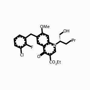 CCOC(=O)c1cn([C@H](CO)CC(C)C)c2cc(OC)c(Cc3cccc(Cl)c3F)cc2c1=O